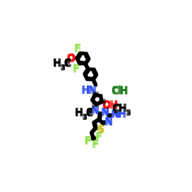 CNc1nc(N(C)[C@H]2C[C@@H](NCc3ccc(-c4ccc(F)c(OC)c4F)cc3)C[C@H]2O)c2cc(CC(F)(F)F)sc2n1.Cl